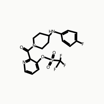 O=C(c1ncccc1OS(=O)(=O)C(F)(F)F)N1CCC(Nc2ccc(F)cc2)CC1